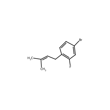 CC(C)=CCc1ccc(Br)cc1F